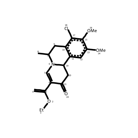 C=C(OCC)C1=CN2C(C)Cc3c(cc(OC)c(OC)c3Cl)C2CC1=O